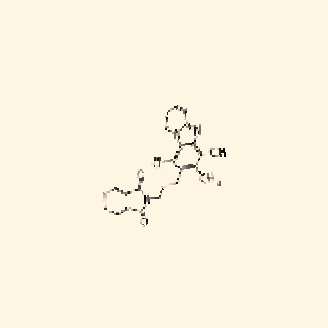 Cc1c(CCCN2C(=O)c3ccccc3C2=O)c(Cl)c2c(nc3ccccn32)c1C#N